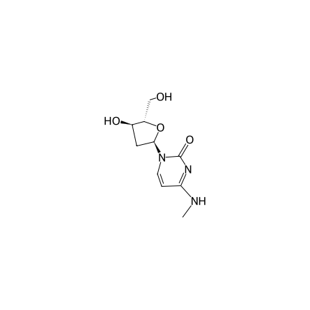 CNc1ccn([C@H]2C[C@@H](O)[C@H](CO)O2)c(=O)n1